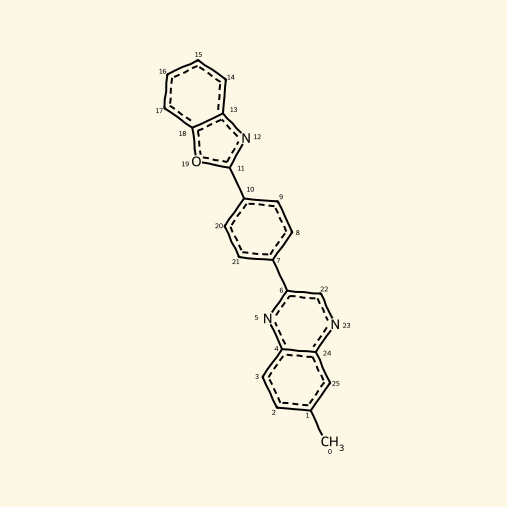 Cc1ccc2nc(-c3ccc(-c4nc5ccccc5o4)cc3)cnc2c1